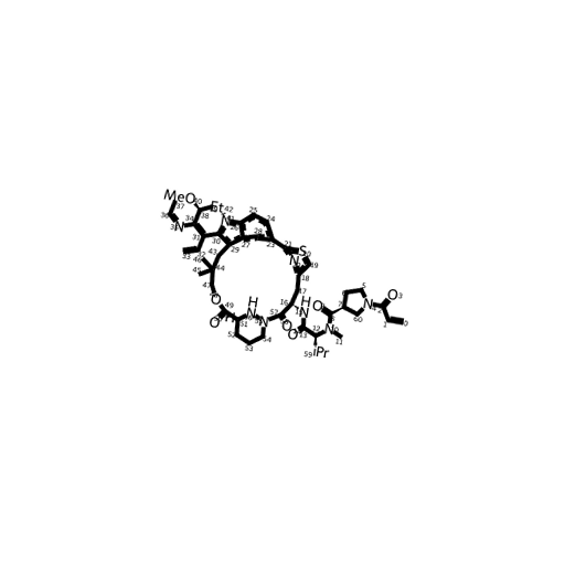 C=CC(=O)N1CC[C@H](C(=O)N(C)[C@H](C(=O)N[C@H]2Cc3csc(n3)-c3ccc4c(c3)c(c(/C(C=C)=C(/N=C\C)[C@H](C)OC)n4CC)CC(C)(C)COC(=O)[C@@H]3CCCN(N3)C2=O)C(C)C)C1